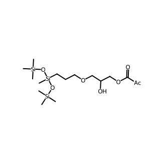 CC(=O)C(=O)OCC(O)COCCC[Si](C)(O[Si](C)(C)C)O[Si](C)(C)C